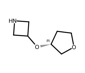 C1C[C@@H](OC2CNC2)CO1